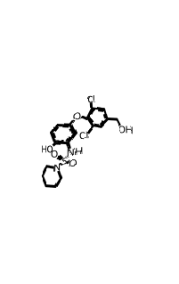 O=S(=O)(Nc1cc(Oc2c(Cl)cc(CO)cc2Cl)ccc1O)N1CCCCC1